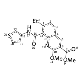 CCc1ccc2cc(C(=O)OC)c(OC)nc2c1C(=O)Nc1ccsc1